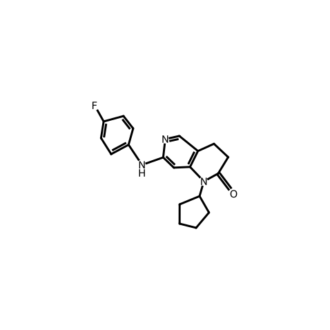 O=C1CCc2cnc(Nc3ccc(F)cc3)cc2N1C1CCCC1